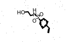 C=Cc1ccc(S(=O)(=O)NCCO)cc1